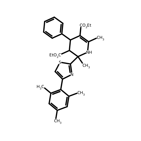 CCOC(=O)C1=C(C)NC(C)(c2nc(-c3c(C)cc(C)cc3C)cs2)C(C(=O)OCC)C1c1ccccc1